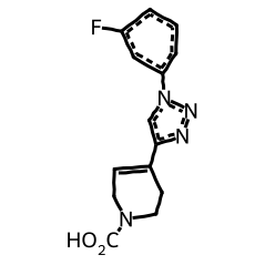 O=C(O)N1CC=C(c2cn(-c3cccc(F)c3)nn2)CC1